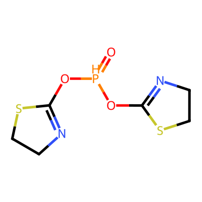 O=[PH](OC1=NCCS1)OC1=NCCS1